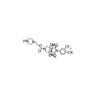 C[C@]12CN(C(=O)OCCN3CCNCC3)C[C@](C)(O1)[C@H]1C(=O)N(c3ccc(C#N)c(C(F)(F)F)c3)C(=O)[C@H]12